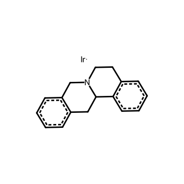 [Ir].c1ccc2c(c1)CC1c3ccccc3CCN1C2